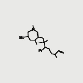 C=CC(C)CCC(C(C)C)C(C)(C)CC1=CN(C)CC(C(C)(C)C)CC1C